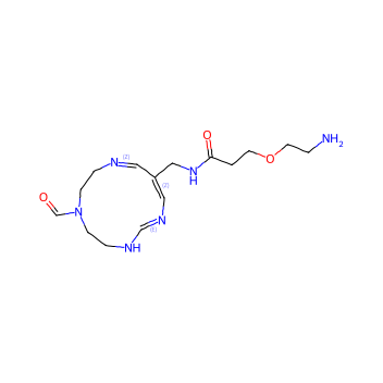 NCCOCCC(=O)NCC1=C/N=C/NCCN(C=O)CC/N=C\1